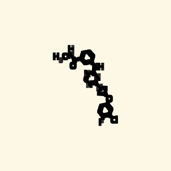 CNC(=O)c1cccc(Nc2ncnc(N3CC(Oc4ccc(F)c(Cl)c4)C3)n2)c1